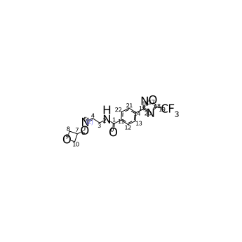 O=C(NC/C=N\OC1COC1)c1ccc(-c2noc(C(F)(F)F)n2)cc1